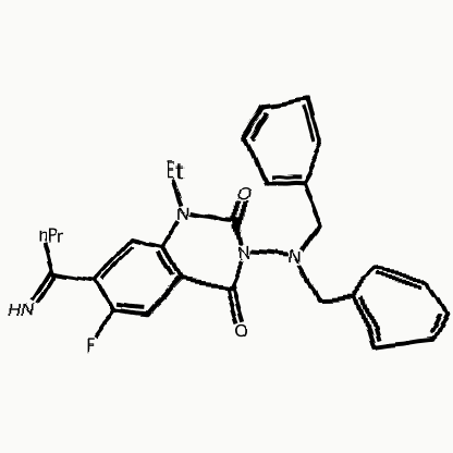 C[CH]CC(=N)c1cc2c(cc1F)c(=O)n(N(Cc1ccccc1)Cc1ccccc1)c(=O)n2CC